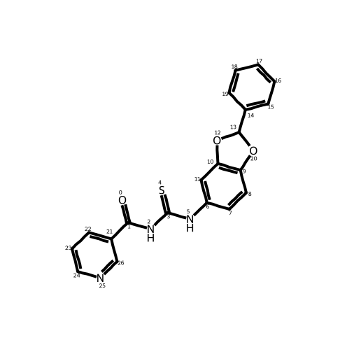 O=C(NC(=S)Nc1ccc2c(c1)OC(c1ccccc1)O2)c1cccnc1